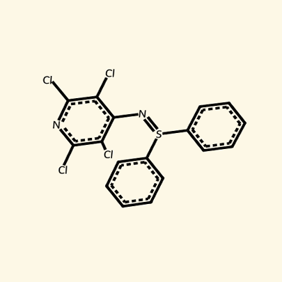 Clc1nc(Cl)c(Cl)c(N=S(c2ccccc2)c2ccccc2)c1Cl